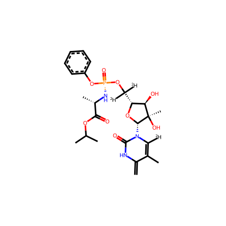 [2H]C1=C(C)C(=C)NC(=O)N1[C@@H]1O[C@H](C([2H])([2H])O[P@@](=O)(N[C@@H](C)C(=O)OC(C)C)Oc2ccccc2)[C@@H](O)[C@@]1(C)O